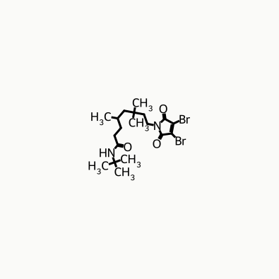 CC(CCC(=O)NC(C)(C)C)CC(C)(C)CCN1C(=O)C(Br)=C(Br)C1=O